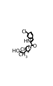 CC(C)(O)CC1CCN(C(=O)c2cc3ccc(Cl)cc3[nH]2)CC1